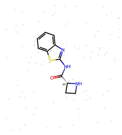 O=C(Nc1nc2ccccc2s1)[C@H]1CCN1